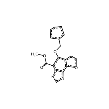 COC(=O)c1c(OCc2ccccc2)c2ccoc2c2ncnn12